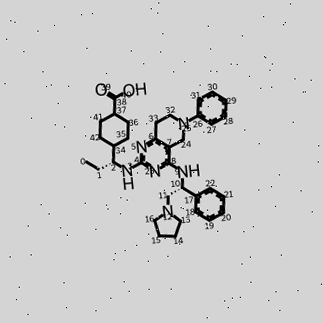 CC[C@@H](Nc1nc2c(c(N[C@@H](CN3CCCC3)c3ccccc3)n1)CN(c1ccccc1)CC2)C1CCC(C(=O)O)CC1